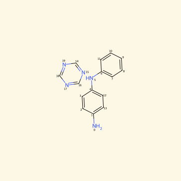 Nc1ccc(Nc2ccccc2)cc1.c1ncncn1